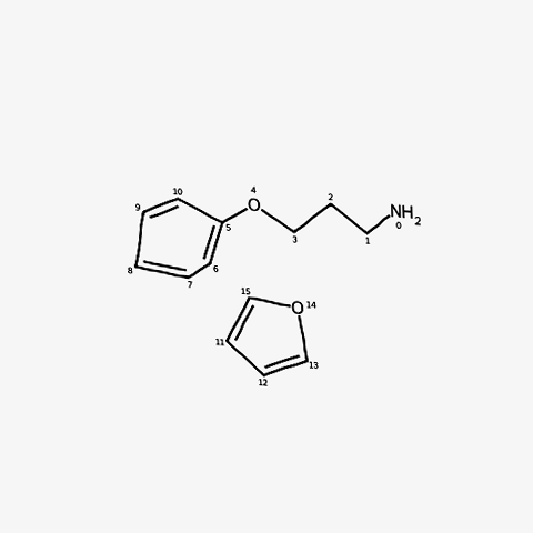 NCCCOc1ccccc1.c1ccoc1